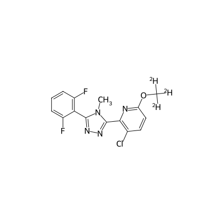 [2H]C([2H])([2H])Oc1ccc(Cl)c(-c2nnc(-c3c(F)cccc3F)n2C)n1